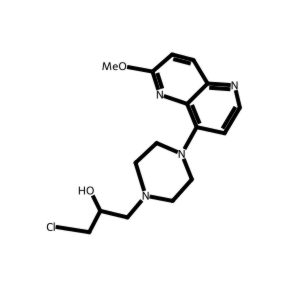 COc1ccc2nccc(N3CCN(CC(O)CCl)CC3)c2n1